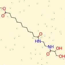 COC(=O)CCCCCCCCCCC(=O)NCCNC(=O)C(O)CO